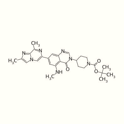 CNc1cc(-c2cn3cc(C)nc3c(C)n2)cc2ncn(C3CCN(C(=O)OC(C)(C)C)CC3)c(=O)c12